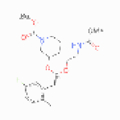 COC(=O)NCCO[C@@H](Cc1cc(F)ccc1C)OC1CCCN(C(=O)OC(C)(C)C)C1